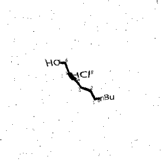 CCCCCCCC#CCO.Cl